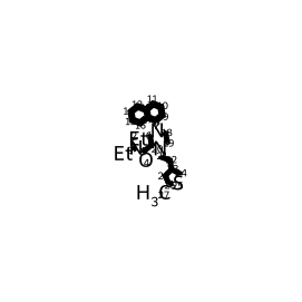 CCN(CC)C(=O)C1CN(c2cccc3ccccc23)CCN1CCC1CSC(C)C1